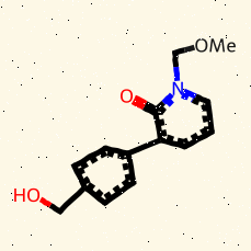 COCn1cccc(-c2ccc(CO)cc2)c1=O